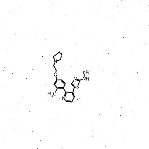 CCCNc1ncc(-c2cccnc2-c2ccc(OCCN3CCCC3)cc2C)s1